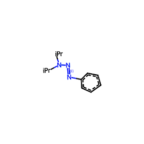 CC(C)N(/N=N/c1ccccc1)C(C)C